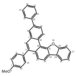 COc1ccc(-c2cc3cc(-c4ccccc4)ccc3c3c2ccc2c4ccccc4oc23)cc1